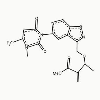 C=C(C(=O)OC)C(C)OCc1nsc2ccc(-n3c(=O)cc(C(F)(F)F)n(C)c3=O)cc12